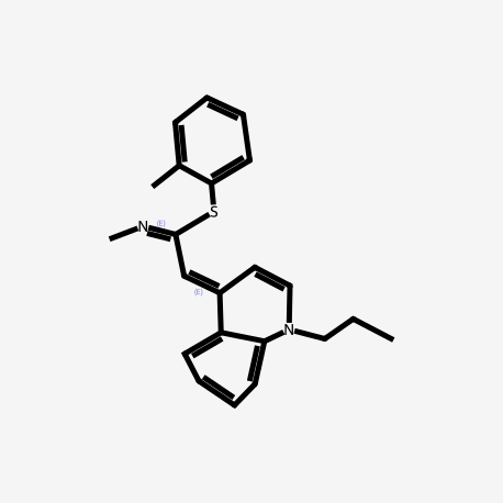 CCCN1C=C/C(=C\C(=N/C)Sc2ccccc2C)c2ccccc21